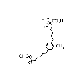 Cc1cc(CCCCCC2(OC=O)CC2)ccc1CCCCCC(C)(C)C(=O)O